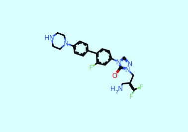 NCC(Cn1ncn(-c2ccc(-c3ccc(N4CCNCC4)cc3)c(F)c2)c1=O)=C(F)F